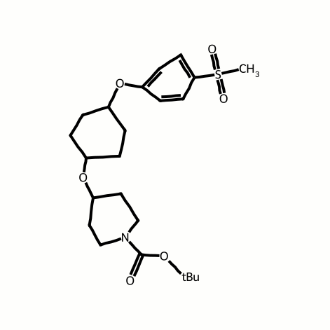 CC(C)(C)OC(=O)N1CCC(OC2CCC(Oc3ccc(S(C)(=O)=O)cc3)CC2)CC1